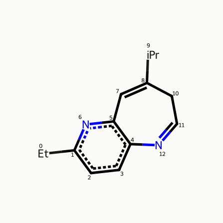 CCc1ccc2c(n1)C=C(C(C)C)CC=N2